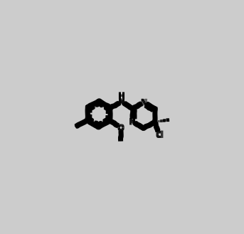 COc1cc(C)ccc1NC1=NC[C@](C)(Cl)C=N1